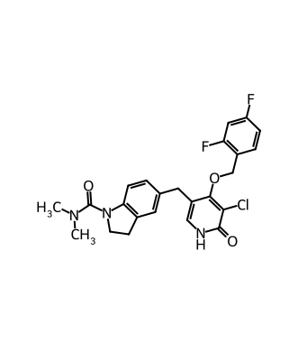 CN(C)C(=O)N1CCc2cc(Cc3c[nH]c(=O)c(Cl)c3OCc3ccc(F)cc3F)ccc21